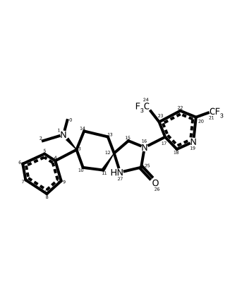 CN(C)[C@]1(c2ccccc2)CC[C@@]2(CC1)CN(c1cnc(C(F)(F)F)cc1C(F)(F)F)C(=O)N2